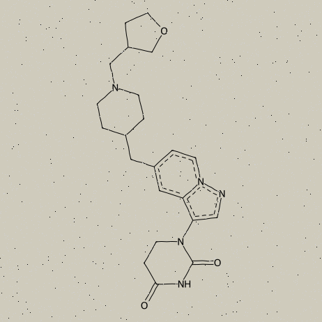 O=C1CCN(c2cnn3ccc(CC4CCN(CC5CCOC5)CC4)cc23)C(=O)N1